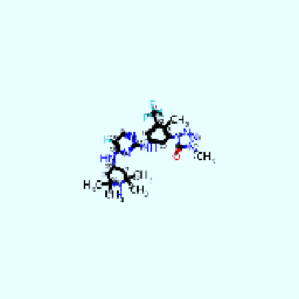 Cc1c(-n2nnn(C)c2=O)cc(Nc2ncc(F)c(NC3CC(C)(C)NC(C)(C)C3)n2)cc1C(F)(F)F